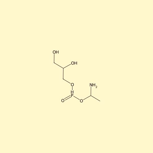 CC(N)O[PH](=O)OCC(O)CO